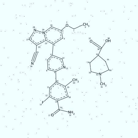 CCOc1cc(-c2ccc(-c3cc(F)c(C(N)=O)cc3C)nc2)c2c(C#N)cnn2c1.CN1CCC(C(=O)O)CC1